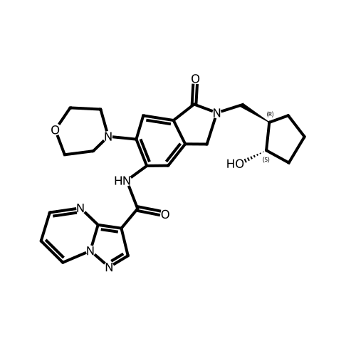 O=C(Nc1cc2c(cc1N1CCOCC1)C(=O)N(C[C@H]1CCC[C@@H]1O)C2)c1cnn2cccnc12